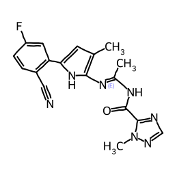 C/C(=N\c1[nH]c(-c2cc(F)ccc2C#N)cc1C)NC(=O)c1ncnn1C